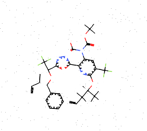 [2H]C([2H])([2H])[C@@]([2H])(Oc1nc(-c2nnc([C@@](CCC=C)(OCc3ccccc3)C(F)(F)F)o2)c(N(C(=O)O)C(=O)OC(C)(C)C)cc1C(F)(F)F)C([2H])([2H])C=C